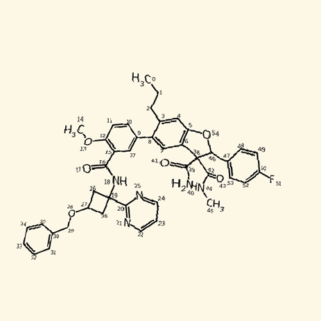 CCCc1cc2c(cc1-c1ccc(OC)c(C(=O)NC3(c4ncccn4)CC(OCc4ccccc4)C3)c1)C(C(N)=O)(C(=O)NC)C(c1ccc(F)cc1)O2